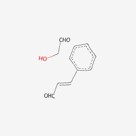 O=CC=Cc1ccccc1.O=CCO